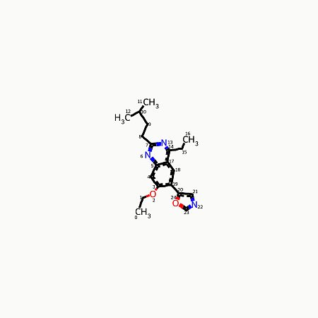 CCOc1cc2nc(CCC(C)C)nc(CC)c2cc1-c1cnco1